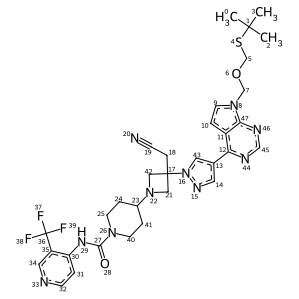 CC(C)(C)SCOCn1ccc2c(-c3cnn(C4(CC#N)CN(C5CCN(C(=O)Nc6ccncc6C(F)(F)F)CC5)C4)c3)ncnc21